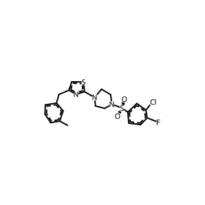 Cc1cccc(Cc2csc(N3CCN(S(=O)(=O)c4ccc(F)c(Cl)c4)CC3)n2)c1